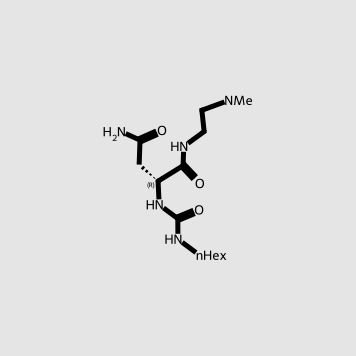 CCCCCCNC(=O)N[C@H](CC(N)=O)C(=O)NCCNC